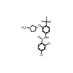 CN1CC[C@@H](Oc2cc(N[S+]([O-])c3ccc(Cl)cc3Cl)ccc2C(F)(F)F)C1